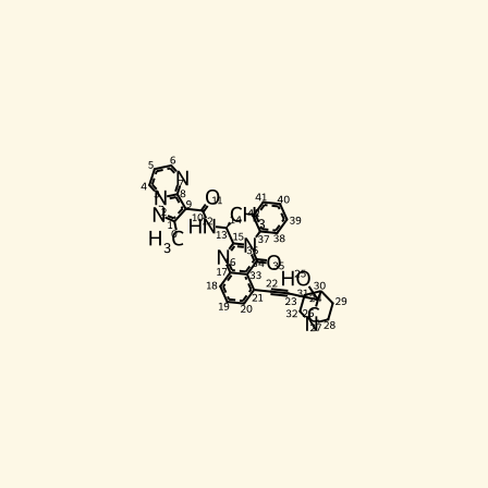 Cc1nn2cccnc2c1C(=O)N[C@@H](C)c1nc2cccc(C#CC3(O)CN4CCC3CC4)c2c(=O)n1-c1ccccc1